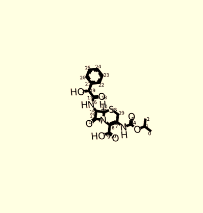 CC(C)OC(=O)NC1=C(C(=O)O)N2C(=O)C(NC(=O)C(O)c3ccccc3)[C@H]2SC1